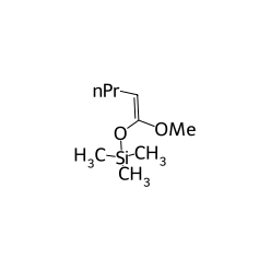 CCCC=C(OC)O[Si](C)(C)C